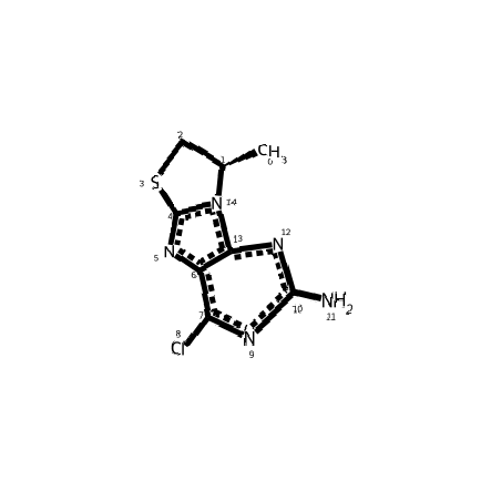 C[C@@H]1CSc2nc3c(Cl)nc(N)nc3n21